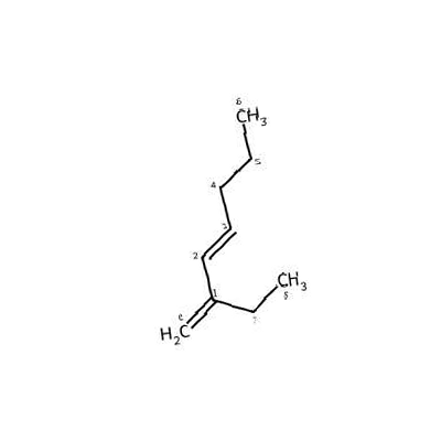 C=C(C=CCCC)CC